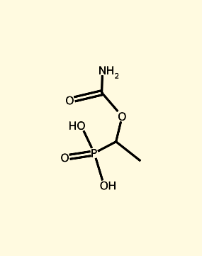 CC(OC(N)=O)P(=O)(O)O